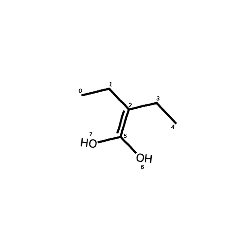 CCC(CC)=C(O)O